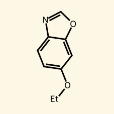 CCOc1ccc2ncoc2c1